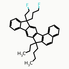 CCCCC1(CCC)c2cc3c(cc2-c2c1ccc1ccccc21)C(CCF)(CCCF)c1ccccc1-3